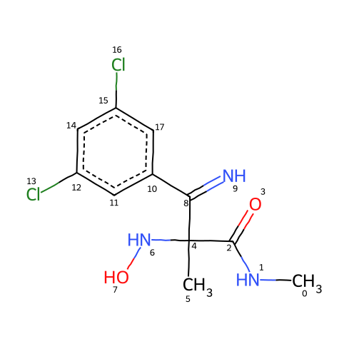 CNC(=O)C(C)(NO)C(=N)c1cc(Cl)cc(Cl)c1